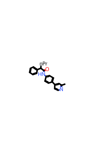 CCCC(C(=O)Nc1ccc(-c2ccnc(C)c2)cc1)c1ccccc1